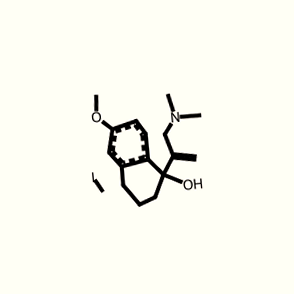 C=C(CN(C)C)C1(O)CCCc2cc(OC)ccc21.CI